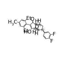 CCc1cc(C)cc(CC)c1C1=C(O)[C@@H]2[C@@H]3O[C@@H](C[C@H]3c3ccc(F)c(F)c3)[C@@H]2C1=O